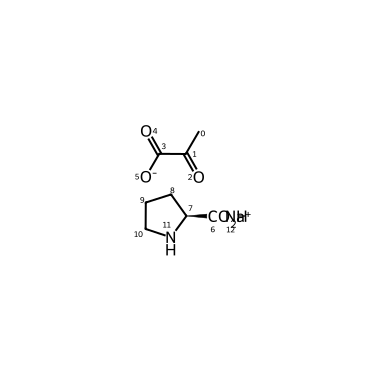 CC(=O)C(=O)[O-].O=C(O)[C@@H]1CCCN1.[Na+]